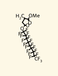 C=C(CC(=O)OC(F)(F)C(F)(F)C(F)(F)C(F)(F)C(F)(F)C(F)(F)C(F)(F)C(F)(F)C(F)(F)F)C(=O)OC